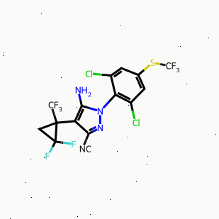 N#Cc1nn(-c2c(Cl)cc(SC(F)(F)F)cc2Cl)c(N)c1C1(C(F)(F)F)CC1(F)F